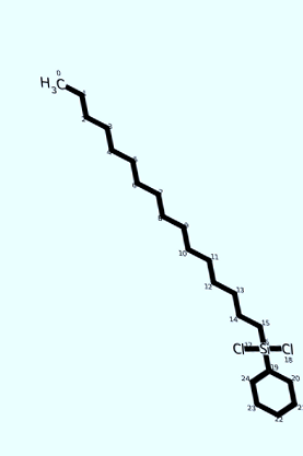 CCCCCCCCCCCCCCCC[Si](Cl)(Cl)C1CCCCC1